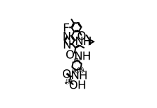 Cc1ccc(OCC2CC2)c(-c2ncnc3c(C(=O)N[C@@H]4CC[C@@H](NC(=O)[C@H](C)O)[C@H](C)C4)c(C)[nH]c23)c1F